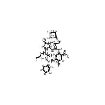 C=CCN(C(=O)NCc1ccccc1)N1CC(=O)N2C1CN(Cc1cc(F)c(F)cc1N(C)C)C(=O)[C@@H]2C1C=CC=CC1